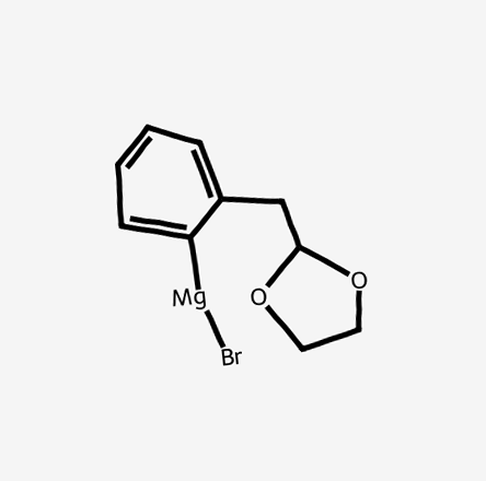 [Br][Mg][c]1ccccc1CC1OCCO1